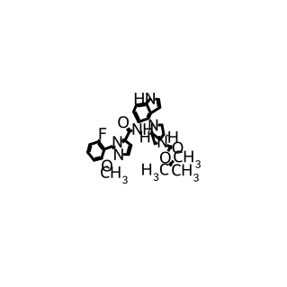 COc1cccc(F)c1-c1nccc(C(=O)Nc2ccc3[nH]ccc3c2N2C[C@@H]3C[C@H]2CN3C(=O)OC(C)(C)C)n1